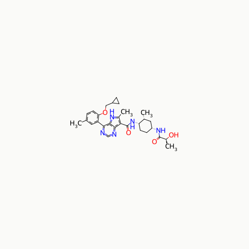 Cc1ccc(OCC2CC2)c(-c2ncnc3c(C(=O)N[C@H]4CC[C@@H](NC(=O)[C@H](C)O)C[C@H]4C)c(C)[nH]c23)c1